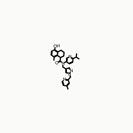 Cc1ccnc(Cn2cc(CN(C(=O)C3CCCc4c(O)ccc(C)c43)c3ccc(C(C)C)nc3)cn2)c1